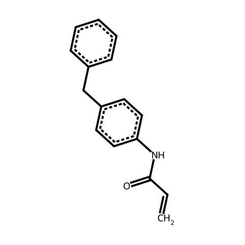 C=CC(=O)Nc1ccc(Cc2ccccc2)cc1